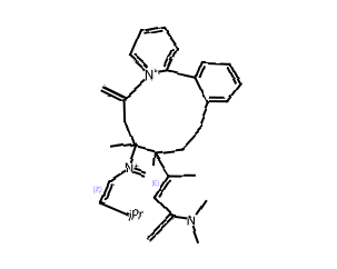 C=C(/C=C(\C)C1(C)CCc2ccccc2-c2cccc[n+]2C(=C)CC1(C)[N+](=C)/C=C\C(C)C)N(C)C